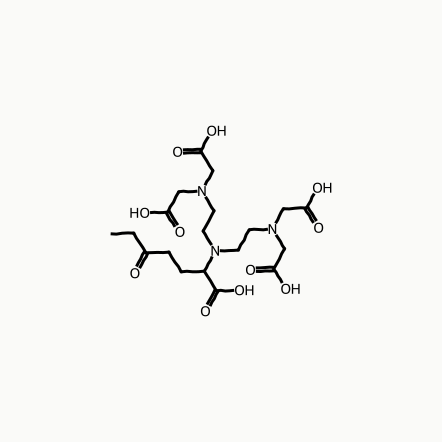 CCC(=O)CCC(C(=O)O)N(CCN(CC(=O)O)CC(=O)O)CCN(CC(=O)O)CC(=O)O